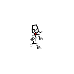 CC(C)(C)OC(=O)NNC1CC2CCC(C1F)N2C(=O)OC(C)(C)C